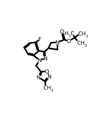 Cc1noc(Cn2nc(C3CN(C(=O)OC(C)(C)C)C3)c3c(F)cccc32)n1